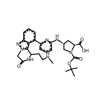 CNCCC1NC(=O)Cn2nc3cccc(-c4cccc(N[C@H]5C[C@@H](C(=O)O)N(C(=O)OC(C)(C)C)C5)n4)c3c21